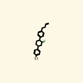 C=CCCc1ccc(C2CCC(c3ccc(CC)cc3)CC2F)cc1